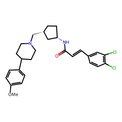 COc1ccc(C2CCN(C[C@@H]3CC[C@H](NC(=O)/C=C/c4ccc(Cl)c(Cl)c4)C3)CC2)cc1